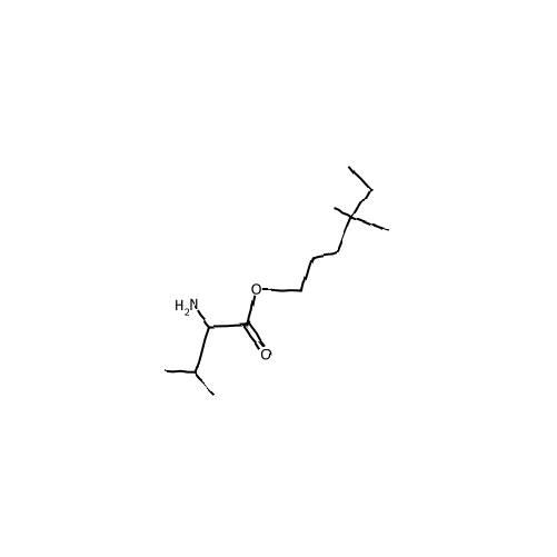 CCC(C)(C)CCCOC(=O)C(N)C(C)C